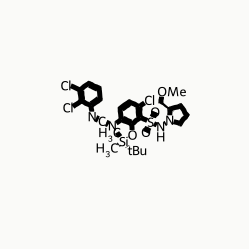 COC[C@H]1CCCN1NS(=O)(=O)c1c(Cl)ccc(N=C=Nc2cccc(Cl)c2Cl)c1O[Si](C)(C)C(C)(C)C